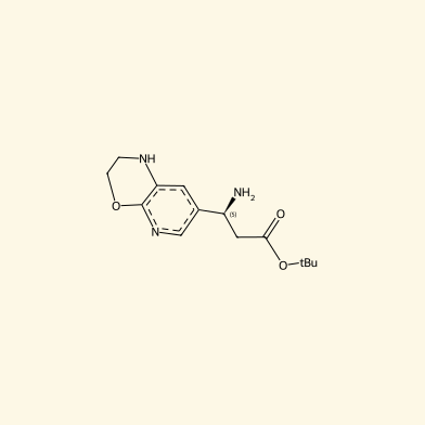 CC(C)(C)OC(=O)C[C@H](N)c1cnc2c(c1)NCCO2